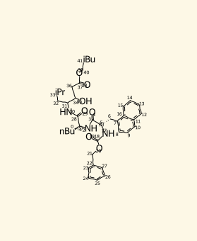 CCCC[C@H](NC(=O)[C@H](Cc1cccc2ccccc12)NC(=O)OCc1ccccc1)C(=O)NC(CC(C)C)C(O)CC(=O)OCC(C)CC